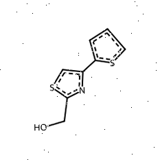 OCc1nc(-c2cccs2)cs1